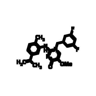 C=C(C)c1ccc(C)c(Nc2nc(=O)c(OC)cn2CC2C=C(F)C=C(F)C2)c1